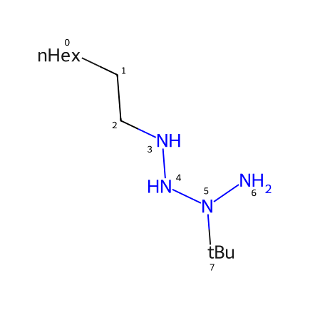 CCCCCCCCNNN(N)C(C)(C)C